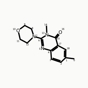 Cc1ccc2nc(N3CCOCC3)n(C)c(=O)c2c1